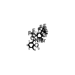 COc1c(C)cccc1C(=O)Nc1c(Br)cc(C(F)(C(F)(F)F)C(F)(F)Cl)cc1OC(F)F